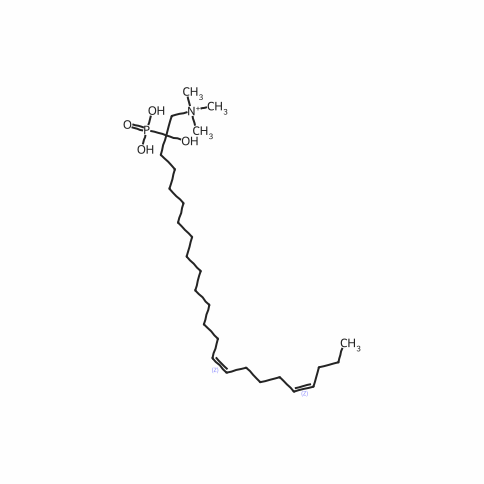 CCC/C=C\CCC/C=C\CCCCCCCCCCCCC(O)(C[N+](C)(C)C)P(=O)(O)O